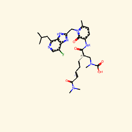 Cc1ccc(NC(=O)[C@@H](CC/C=C/C(=O)N(C)C)CN(C)C(=O)O)c(=O)n1Cc1nc2c(F)cnc(CC(C)C)c2[nH]1